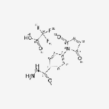 NNC(=O)c1ccc(N2C(=O)C=CC2=O)cc1.O=C(O)C(F)(F)F